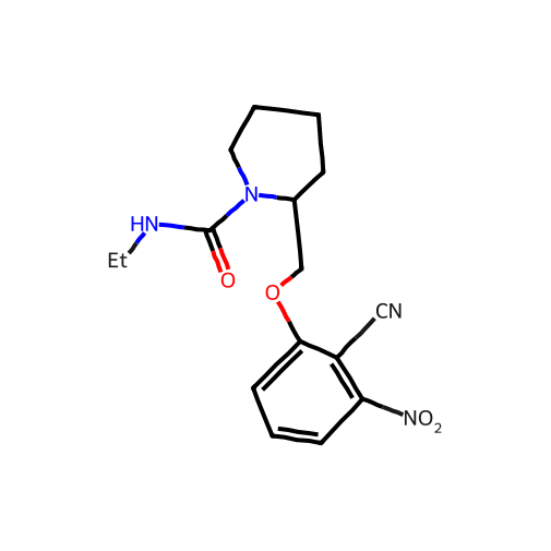 CCNC(=O)N1CCCCC1COc1cccc([N+](=O)[O-])c1C#N